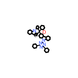 c1ccc(-c2nc(-c3ccccc3)nc(-n3c4ccccc4c4c5c(ccc43)C3(c4ccccc4O5)c4ccccc4-n4c5ccccc5c5cccc3c54)n2)cc1